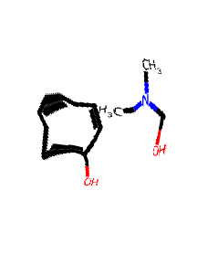 CN(C)CO.Oc1ccccc1